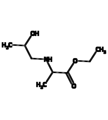 CCOC(=O)C(C)NCC(C)O